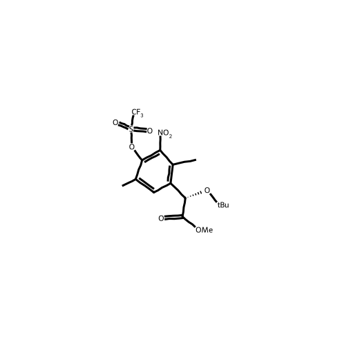 COC(=O)[C@@H](OC(C)(C)C)c1cc(C)c(OS(=O)(=O)C(F)(F)F)c([N+](=O)[O-])c1C